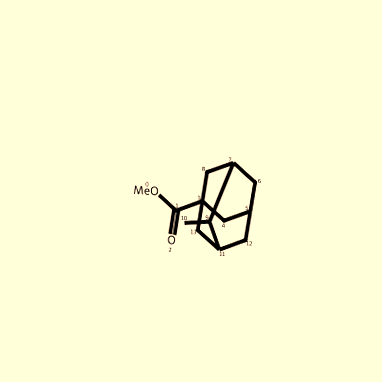 COC(=O)C12CC3CC(C1)C(C)C(C3)C2